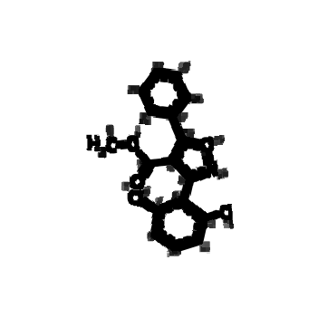 COC(=O)c1c(-c2c(Cl)cccc2Cl)noc1-c1ccccc1